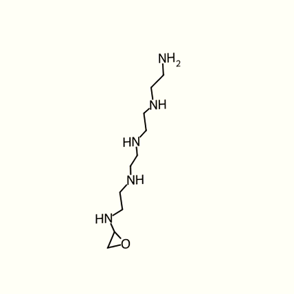 NCCNCCNCCNCCNC1CO1